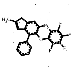 CC1=Cc2c(cc(C(C)C)c(Oc3c(F)c(F)c(F)c(F)c3F)c2-c2ccccc2)C1